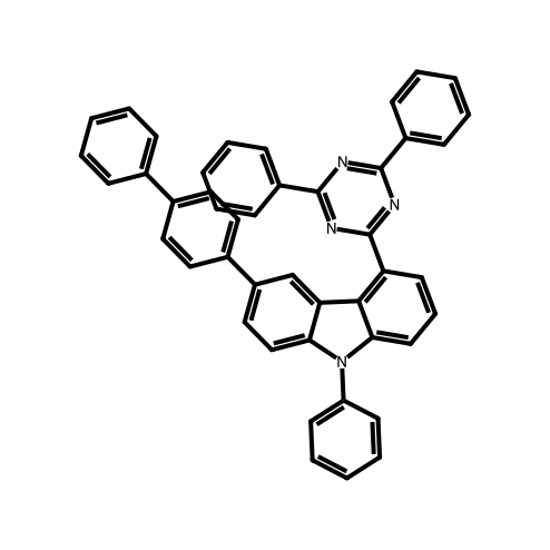 c1ccc(-c2ccc(-c3ccc4c(c3)c3c(-c5nc(-c6ccccc6)nc(-c6ccccc6)n5)cccc3n4-c3ccccc3)cc2)cc1